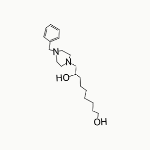 OCCCCCCCC(O)CN1CCN(Cc2ccccc2)CC1